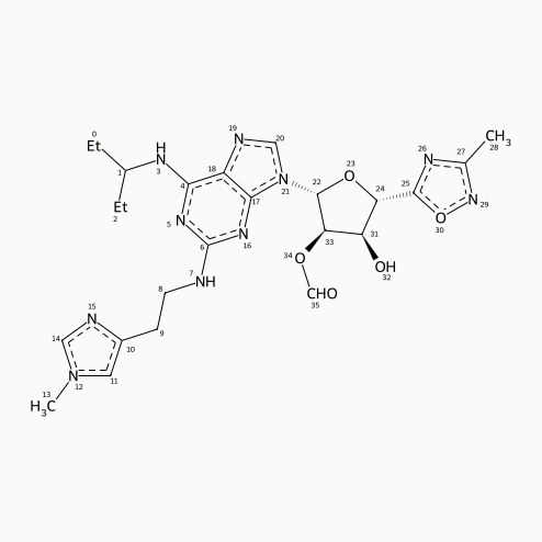 CCC(CC)Nc1nc(NCCc2cn(C)cn2)nc2c1ncn2[C@@H]1O[C@H](c2nc(C)no2)[C@@H](O)[C@H]1OC=O